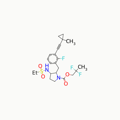 CCS(=O)(=O)NC1CCN(C(=O)OCC(C)(F)F)C1Cc1cccc(C#CC2(C)CC2)c1F